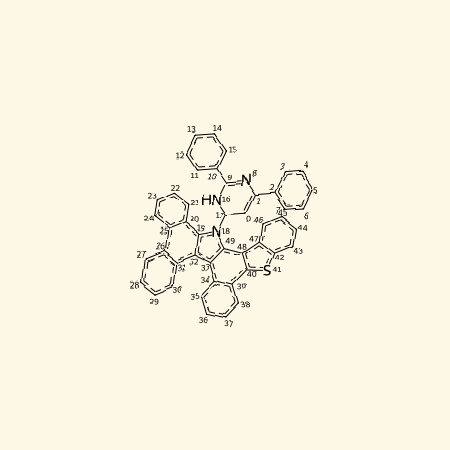 C1=C(c2ccccc2)N=C(c2ccccc2)NC1n1c2c3ccccc3c3ccccc3c2c2c3ccccc3c3sc4ccccc4c3c21